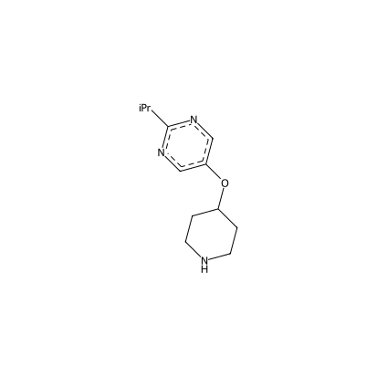 CC(C)c1ncc(OC2CCNCC2)cn1